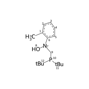 Cc1ccccc1N(O)CP(C(C)(C)C)C(C)(C)C